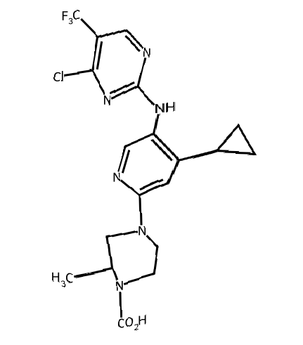 CC1CN(c2cc(C3CC3)c(Nc3ncc(C(F)(F)F)c(Cl)n3)cn2)CCN1C(=O)O